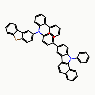 c1ccc(-c2ccccc2N(c2ccc(-c3ccc4c(c3)c3ccc5ccccc5c3n4-c3ccccc3)cc2)c2ccc3sc4ccccc4c3c2)cc1